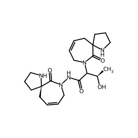 C[C@@H](O)C(C(=O)NN1CC=CC[C@]2(CCCN2)C1=O)N1CC=CCC2(CCCN2)C1=O